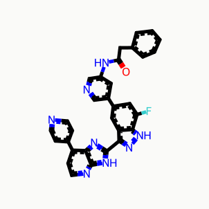 O=C(Cc1ccccc1)Nc1cncc(-c2cc(F)c3[nH]nc(-c4nc5c(-c6ccncc6)ccnc5[nH]4)c3c2)c1